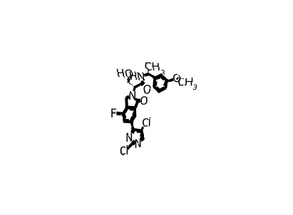 COc1cccc([C@@H](C)NC(=O)[C@@H](CO)N2Cc3c(F)cc(-c4nc(Cl)ncc4Cl)cc3C2=O)c1